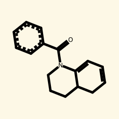 O=C(c1ccccc1)N1CCCC2CC=CC=C21